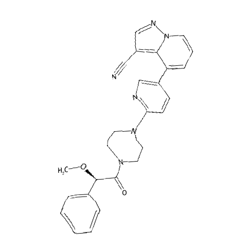 CO[C@@H](C(=O)N1CCN(c2ccc(-c3cccn4ncc(C#N)c34)cn2)CC1)c1ccccc1